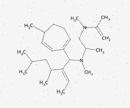 C=C(C)N(C)CC(C)N(C)C(C1=CCCC(C)C=C1)/C(=C/C)C(C)CC(C)C